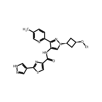 CCO[C@H]1C[C@@H](n2cc(NC(=O)c3csc(-c4cn[nH]c4)n3)c(-c3ccc(C)cn3)n2)C1